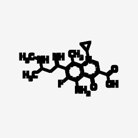 CNC(C)CC(=N)c1c(F)c(N)c2c(=O)c(C(=O)O)cn(C3CC3)c2c1C